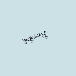 CCNC(=O)c1cnc(N2CCN(C3CCN(Cc4ccc(Cl)cc4F)CC3)[C@@H](C)C2)c(Cl)c1